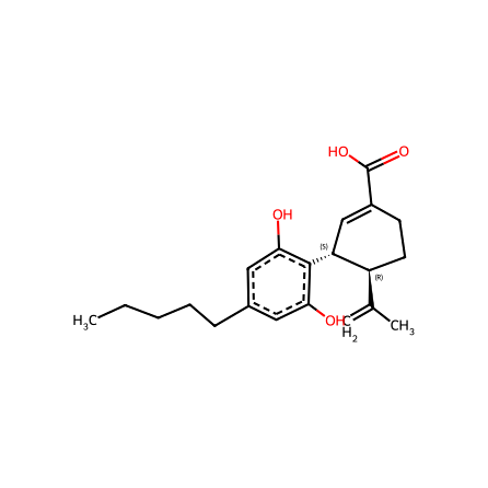 C=C(C)[C@@H]1CCC(C(=O)O)=C[C@H]1c1c(O)cc(CCCCC)cc1O